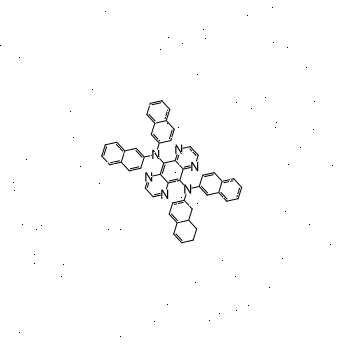 C1=CC2=CC=C(N(c3ccc4ccccc4c3)c3c4nccnc4c(N(c4ccc5ccccc5c4)c4ccc5ccccc5c4)c4nccnc34)CC2CC1